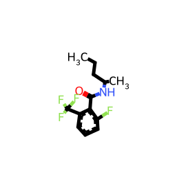 CCCC(C)NC(=O)c1c(F)cccc1C(F)(F)F